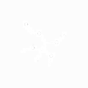 COC(OC=O)C(C)(OC)OC